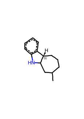 CC1CCC[C@H]2c3ccccc3NC2C1